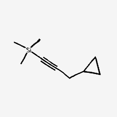 C[Si](C)(C)C#CCC1CC1